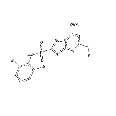 COc1cc(CF)nc2nc(S(=O)(=O)Nc3c(Br)cccc3Br)nn12